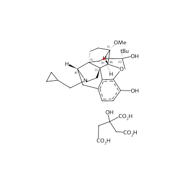 CO[C@@]12CC[C@@]3(C[C@@H]1[C@](C)(O)C(C)(C)C)[C@H]1Cc4ccc(O)c5c4[C@@]3(CCN1CC1CC1)[C@H]2O5.O=C(O)CC(O)(CC(=O)O)C(=O)O